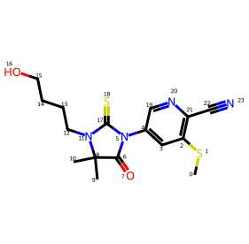 CSc1cc(N2C(=O)C(C)(C)N(CCCCO)C2=S)cnc1C#N